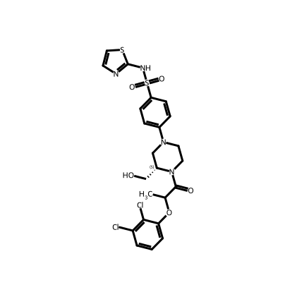 CC(Oc1cccc(Cl)c1Cl)C(=O)N1CCN(c2ccc(S(=O)(=O)Nc3nccs3)cc2)C[C@H]1CO